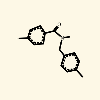 [CH2]c1ccc(C(=O)N(C)Cc2ccc(C)cc2)cc1